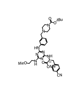 COCCNc1nc(Nc2cccc(CN3CCN(C(=O)OC(C)(C)C)CC3)c2)nc(N[C@@H](Cc2ccc(C#N)cc2)C(=O)OC)n1